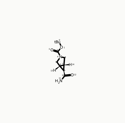 CC(C)(C)OC(=O)N1C[C@@H]2[C@H](C1)[C@H]2C(N)=O